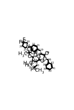 CN(C(=O)OC(C)(C)C)[C@@H](CC(C)(C)F)C(=O)O[C@H](Cc1ccc(N2CCC(F)(F)C2)cc1)C(=O)OCc1ccccc1